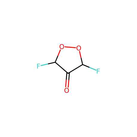 O=C1C(F)OOC1F